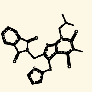 CC(C)Cn1c(=O)n(C)c(=O)c2c(Sc3cccs3)c(CN3C(=O)c4ccccc4C3=O)sc21